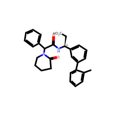 Cc1ccccc1-c1cccc([C@H](CC(=O)O)NC(=O)C(c2ccccc2)N2CCCCC2=O)c1